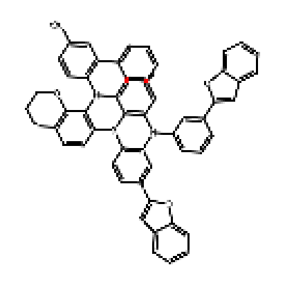 Cc1cc2c3c(c1)N(c1ccc(C(C)(C)C)cc1-c1ccccc1)c1c(ccc4c1OCCO4)B3c1ccc(-c3cc4ccccc4o3)cc1N2c1cccc(-c2cc3ccccc3o2)c1